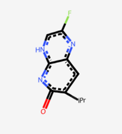 CC(C)c1cc2nc(F)c[nH]c-2nc1=O